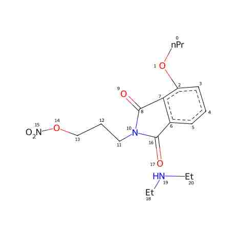 CCCOc1cccc2c1C(=O)N(CCCO[N+](=O)[O-])C2=O.CCNCC